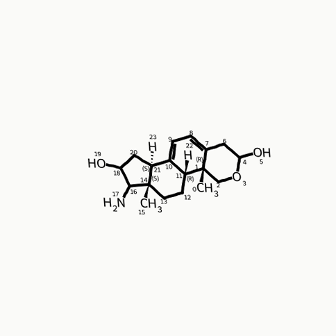 C[C@]12COC(O)CC1=CC=C1[C@H]2CC[C@]2(C)C(N)C(O)C[C@@H]12